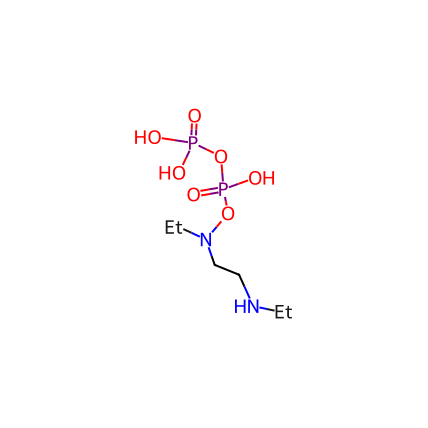 CCNCCN(CC)OP(=O)(O)OP(=O)(O)O